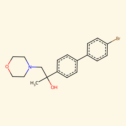 CC(O)(CN1CCOCC1)c1ccc(-c2ccc(Br)cc2)cc1